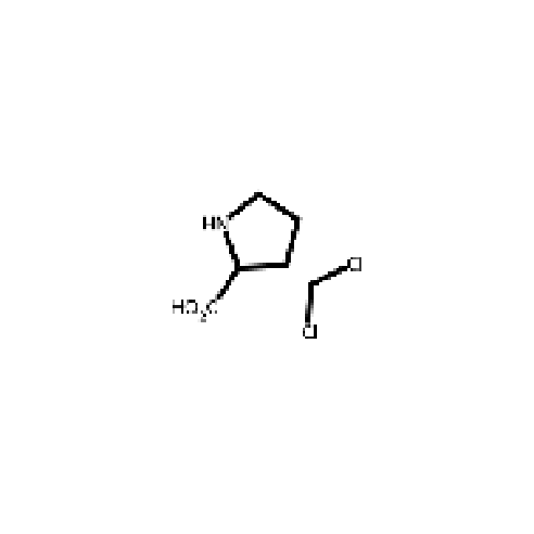 ClCCl.O=C(O)C1CCCN1